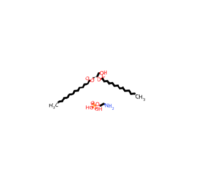 CCCCCCCCCCCCCC(=O)OC[C@H](CO)OC(=O)CCCCCCCCCCCCC.NCCOP(=O)(O)O